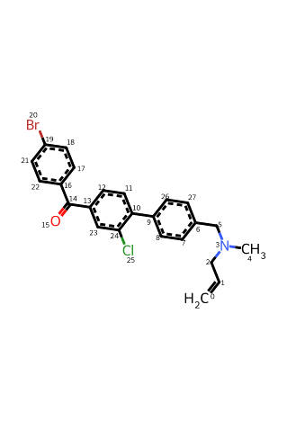 C=CCN(C)Cc1ccc(-c2ccc(C(=O)c3ccc(Br)cc3)cc2Cl)cc1